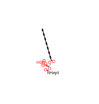 C#CC#CC#CC#CC#CC#CC#CC(=O)OC[C@@H](COP(=O)(O)O)OC(=O)CCCCCCC